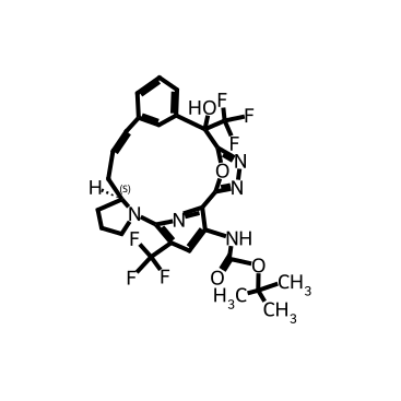 CC(C)(C)OC(=O)Nc1cc(C(F)(F)F)c2nc1-c1nnc(o1)C(O)(C(F)(F)F)c1cccc(c1)C=CC[C@@H]1CCCN21